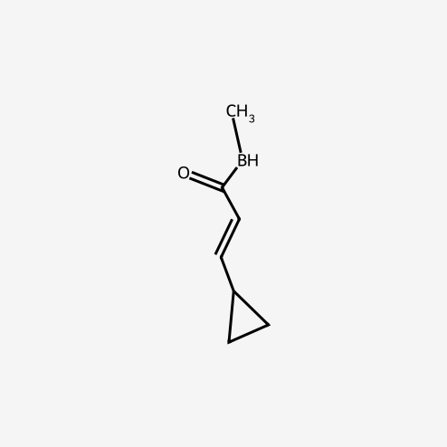 CBC(=O)/C=C/C1CC1